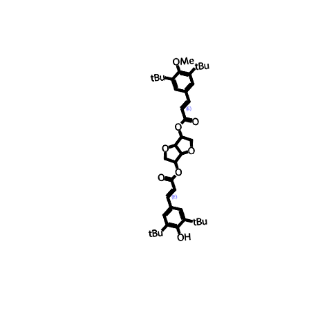 COc1c(C(C)(C)C)cc(/C=C/C(=O)OC2COC3C(OC(=O)/C=C/c4cc(C(C)(C)C)c(O)c(C(C)(C)C)c4)COC23)cc1C(C)(C)C